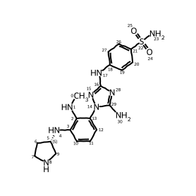 CNc1c(N[C@H]2CCNC2)cccc1-n1nc(Nc2ccc(S(N)(=O)=O)cc2)nc1N